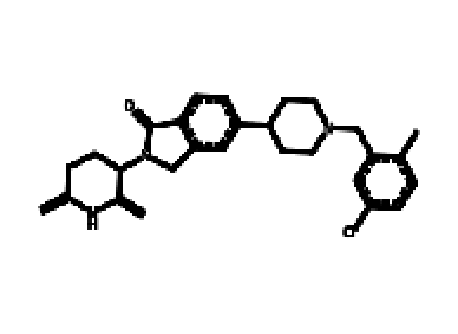 C=C1CCC(N2Cc3cc(C4CCN(Cc5cc(Cl)ccc5C)CC4)ccc3C2=O)C(=C)N1